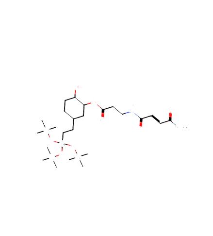 COC(=O)C=CC(=O)NCCC(=O)OC1CC(CC[Si](O[Si](C)(C)C)(O[Si](C)(C)C)O[Si](C)(C)C)CCC1O